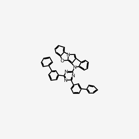 c1ccc(-c2cccc(-c3nc(-c4cccc(-c5ccccc5)c4)nc(-n4c5ccccc5c5cn6c7ccccc7oc6c54)n3)c2)cc1